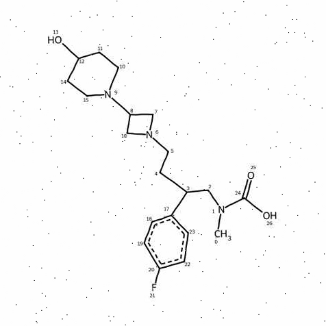 CN(CC(CCN1CC(N2CCC(O)CC2)C1)c1ccc(F)cc1)C(=O)O